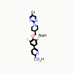 CCc1cnc(N2CCC(COc3c(F)cc(-c4ccc(C(=O)O)nc4)cc3F)CC2)nc1.[NaH]